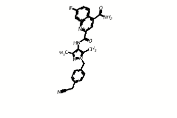 Cc1nn(Cc2ccc(CC#N)cc2)c(C)c1NC(=O)c1cc(C(N)=O)c2ccc(F)cc2n1